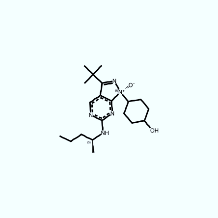 CCC[C@H](C)Nc1ncc2c(n1)[N@+]([O-])(C1CCC(O)CC1)N=C2C(C)(C)C